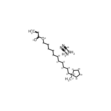 C=CC(=O)OCCCCCCCCCCC[N+]1(C)CCCC1.N#CN.N#CN